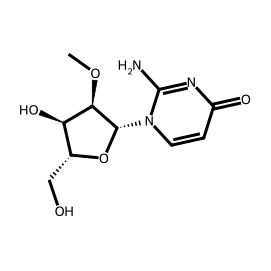 CO[C@@H]1[C@H](O)[C@@H](CO)O[C@H]1n1ccc(=O)nc1N